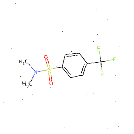 CN(C)S(=O)(=O)c1ccc(C(F)(F)F)cc1